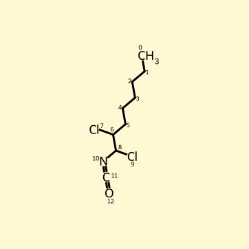 CCCCCCC(Cl)C(Cl)N=C=O